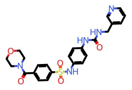 O=C(NCc1cccnc1)Nc1ccc(NS(=O)(=O)c2ccc(C(=O)N3CCOCC3)cc2)cc1